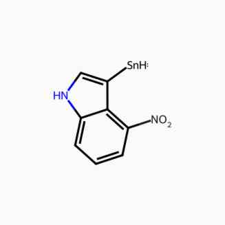 O=[N+]([O-])c1cccc2[nH]c[c]([SnH])c12